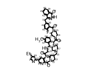 CCc1cnn(-c2cnc(C(=O)N3CCC(CN4CCN(CC(=O)N5CCN(C(=O)c6cc(Cc7n[nH]c(=O)c8ccccc78)ccc6F)CC5)CC4)CC3)c(NC(=O)CNCc3cccc(C)c3)c2)c1